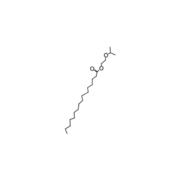 CCCCCCCCCCCCCCCC(=O)OCCOC(C)C